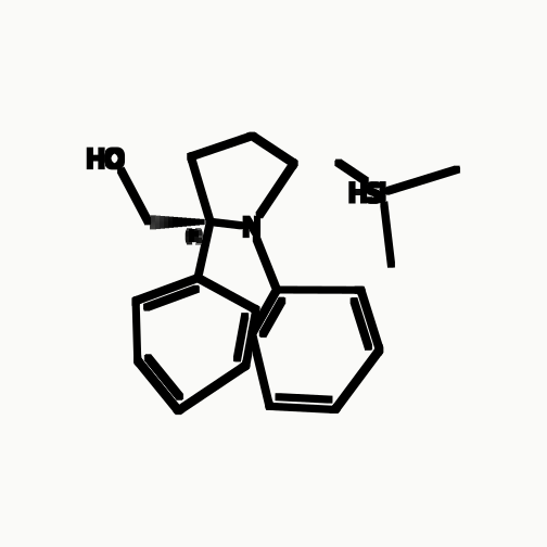 C[SiH](C)C.OC[C@]1(c2ccccc2)CCCN1c1ccccc1